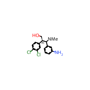 CNC(c1cccc(N)c1)[C@H](CO)c1ccc(Cl)c(Cl)c1